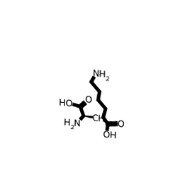 C[C@@H](N)C(=O)O.NCCCCCC(=O)O